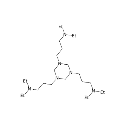 CCN(CC)CCCN1CN(CCCN(CC)CC)CN(CCCN(CC)CC)C1